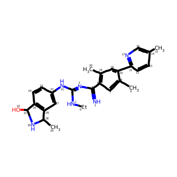 CCN/C(=N\C(=N)c1cc(C)c(-c2ccc(C)cn2)cc1C)Nc1ccc2c(c1)C(C)NC2O